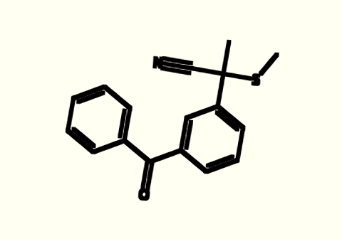 CSC(C)(C#N)c1cccc(C(=O)c2ccccc2)c1